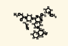 C=CC(=O)N1CCN(c2nc(OC[C@@H]3CCCN3C)nc3c2CCN(c2cc(F)cc4c2CCCC4)C3)C[C@@H]1CC#N